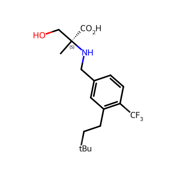 CC(C)(C)CCc1cc(CN[C@@](C)(CO)C(=O)O)ccc1C(F)(F)F